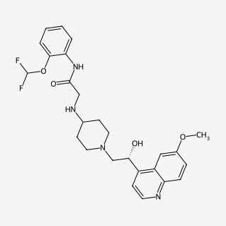 COc1ccc2nccc([C@@H](O)CN3CCC(NCC(=O)Nc4ccccc4OC(F)F)CC3)c2c1